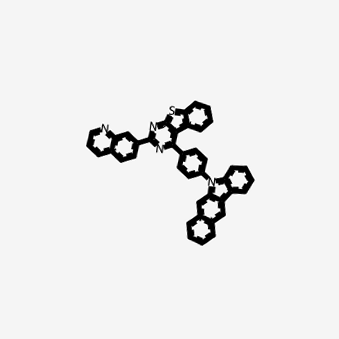 c1ccc2cc3c(cc2c1)c1ccccc1n3-c1ccc(-c2nc(-c3ccc4cccnc4c3)nc3sc4ccccc4c23)cc1